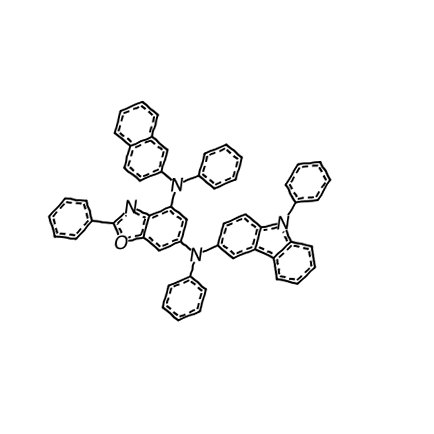 c1ccc(-c2nc3c(N(c4ccccc4)c4ccc5ccccc5c4)cc(N(c4ccccc4)c4ccc5c(c4)c4ccccc4n5-c4ccccc4)cc3o2)cc1